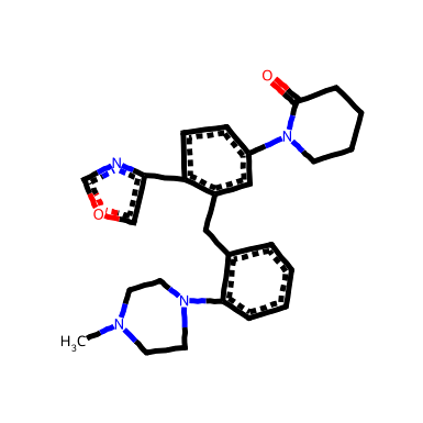 CN1CCN(c2ccccc2Cc2cc(N3CCCCC3=O)ccc2-c2cocn2)CC1